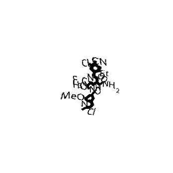 CCOc1c(CC(N)=O)cc([C@@](O)(CNC(=O)c2cc(OC)c3nc(C)c(Cl)cc3c2)C(F)(F)F)nc1-c1ccc(C#N)c(Cl)c1